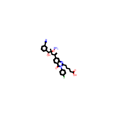 C=C(CC(C)(ON)[C@@H](O)c1cccc(C#N)c1)c1ccc2c(=O)n(-c3ccc(F)cc3)c(CCCCC(=O)O)nc2c1